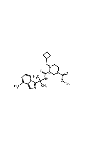 Cc1cccn2c(C(C)(C)NC(=O)[C@@H]3CN(C(=O)OC(C)(C)C)CCN3CC3CCC3)ncc12